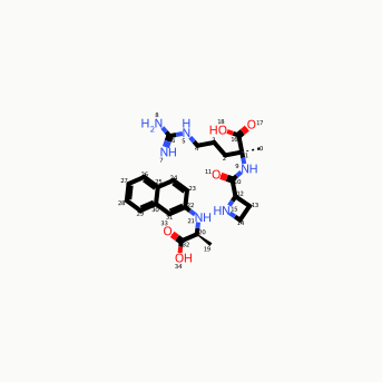 C[C@@](CCCNC(=N)N)(NC(=O)C1CCN1)C(=O)O.C[C@H](Nc1ccc2ccccc2c1)C(=O)O